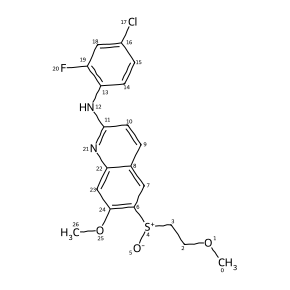 COCC[S+]([O-])c1cc2ccc(Nc3ccc(Cl)cc3F)nc2cc1OC